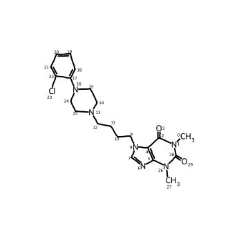 Cn1c(=O)c2c(ncn2CCCCN2CCN(c3ccccc3Cl)CC2)n(C)c1=O